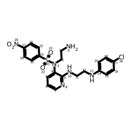 NCCN(c1cccnc1NCCNc1ccc(Cl)cc1)S(=O)(=O)c1ccc([N+](=O)[O-])cc1